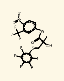 CC(O)(COc1c(F)c(F)c(F)c(F)c1F)C(=O)Nc1ccc([N+](=O)[O-])c(C(F)(F)F)c1